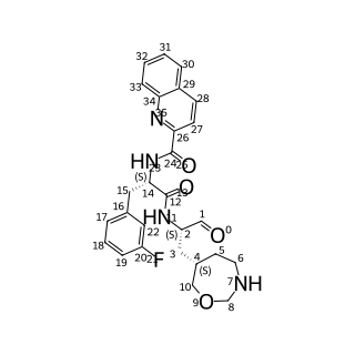 O=C[C@H](C[C@@H]1CCNCOC1)NC(=O)[C@H](Cc1cccc(F)c1)NC(=O)c1ccc2ccccc2n1